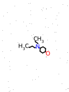 CCCCN(CCC)C1CCC(=O)CC1